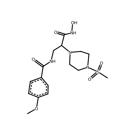 COc1ccc(C(=O)NCC(C(=O)NO)N2CCN(S(C)(=O)=O)CC2)cc1